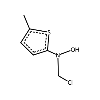 Cc1ccc(N(O)CCl)s1